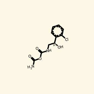 NC(=O)OC(=O)NC[C@H](O)c1ccccc1Cl